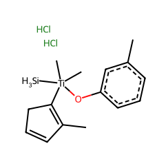 CC1=[C]([Ti]([CH3])([CH3])([SiH3])[O]c2cccc(C)c2)CC=C1.Cl.Cl